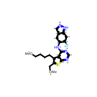 COCCCCc1c(COC)sc2ncnc(Nc3cc4cn[nH]c4cc3F)c12